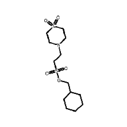 O=S1(=O)CCN(CCS(=O)(=O)OCC2CCCCC2)CC1